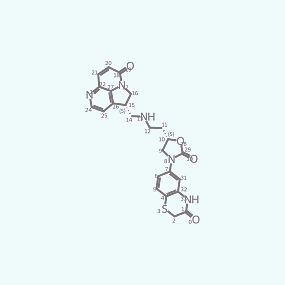 O=C1CSc2ccc(N3C[C@H](CCNC[C@H]4Cn5c(=O)ccc6nccc4c65)OC3=O)cc2N1